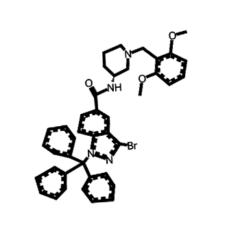 COc1cccc(OC)c1CN1CCC[C@@H](NC(=O)c2ccc3c(c2)c(Br)nn3C(c2ccccc2)(c2ccccc2)c2ccccc2)C1